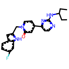 CCC(CC)Nc1nccc(-c2ccn(Cc3cc4ccc(F)cc4[nH]3)c(=O)c2)n1